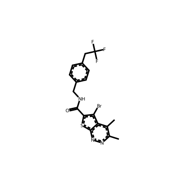 Cc1nnc2sc(C(=O)NCc3ccc(CC(F)(F)F)cc3)c(Br)c2c1C